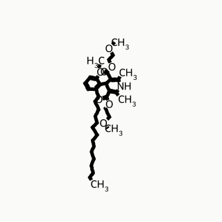 CCCCCCCCCCCCCCCc1cccc(OCC)c1C1C(C(=O)OCCOC)=C(C)NC(C)=C1C(=O)OCCOC